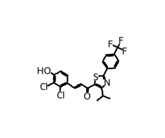 CC(C)c1nc(-c2ccc(C(F)(F)F)cc2)sc1C(=O)/C=C/c1ccc(O)c(Cl)c1Cl